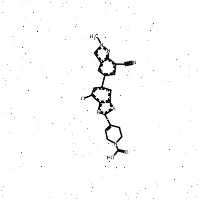 Cn1cc2cc(-c3cc(Cl)c4nc(C5=CCN(C(=O)O)CC5)sc4c3)cc(C#N)c2n1